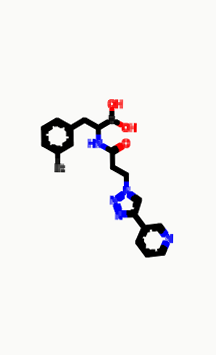 CCc1cccc(CC(NC(=O)CCn2cc(-c3cccnc3)nn2)B(O)O)c1